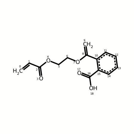 C=CC(=O)OCCOC(=C)c1ccccc1C(=O)O